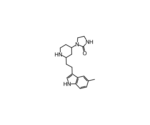 Cc1ccc2[nH]cc(CCC3CC(N4CCNC4=O)CCN3)c2c1